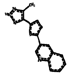 Cc1n[nH]nc1-c1ccc(-c2cnc3ccccc3c2)s1